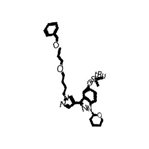 CC(C)(C)[Si](C)(C)Oc1ccc2c(c1)c(-c1cnn(CCCCOCCCOCc3ccccc3)c1)nn2C1CCCCO1